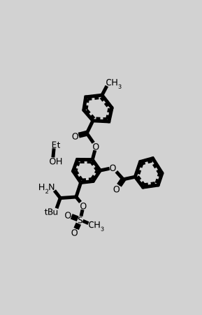 CCO.Cc1ccc(C(=O)Oc2ccc(C(OS(C)(=O)=O)C(N)C(C)(C)C)cc2OC(=O)c2ccccc2)cc1